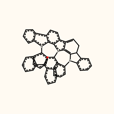 C1=c2c(n(-c3nc(-c4ccccc4)c4ccccc4n3)c3c2ccc2c4ccccc4n(-c4ccccc4)c23)=C2C(C1)c1ccccc1N2c1ccccc1